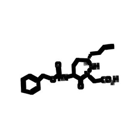 C=CCC[C@H]1CCC(NC(=O)OCc2ccccc2)C(=O)N(CC(=O)O)N1